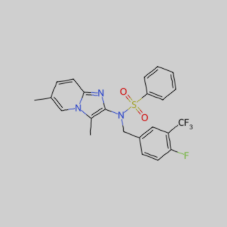 Cc1ccc2nc(N(Cc3ccc(F)c(C(F)(F)F)c3)S(=O)(=O)c3ccccc3)c(C)n2c1